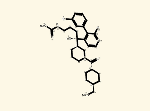 CCc1cccc(-c2c([C@](O)(CCCNC(=O)OC)[C@@H]3CCCN(C(=O)[C@H]4CC[C@H](CNC)CC4)C3)ccnc2Cl)c1